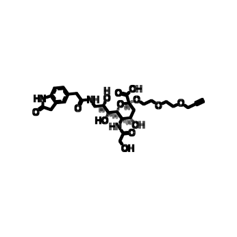 C#CCOCCOCCO[C@]1(C(=O)O)C[C@H](O)[C@@H](NC(=O)CO)[C@H]([C@H](O)[C@H](O)CNC(=O)Cc2ccc3c(c2)CC(=O)N3)O1